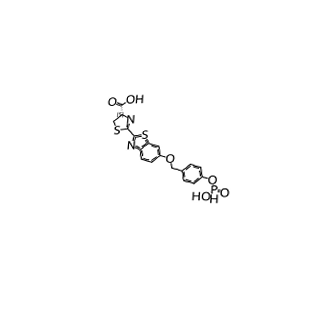 O=C(O)[C@H]1CSC(c2nc3ccc(OCc4ccc(O[PH](=O)O)cc4)cc3s2)=N1